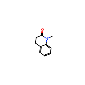 CN1C(=O)CCc2c[c]ccc21